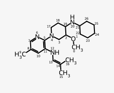 COC1CN(c2ncc(C)cc2NC=C(C)C)CCC1NC1CCCCC1